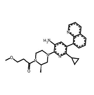 COCCC(=O)N1CCN(c2nc(C3CC3)c(-c3cccc4cccnc34)cc2N)C[C@H]1C